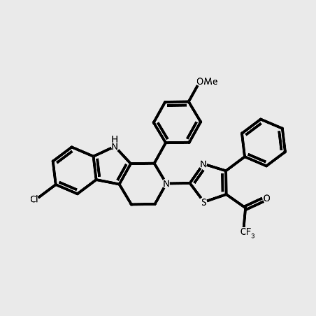 COc1ccc(C2c3[nH]c4ccc(Cl)cc4c3CCN2c2nc(-c3ccccc3)c(C(=O)C(F)(F)F)s2)cc1